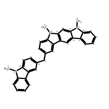 Cn1c2ccccc2c2cc(Cc3ccc4c(c3)c3cc5c6ccccc6n(C)c5cc3n4C)ccc21